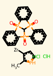 Cc1[pH]cc[c]1[Zr].Cl.Cl.O=P(c1ccccc1)(c1ccccc1)C(P(=O)(c1ccccc1)c1ccccc1)P(=O)(c1ccccc1)c1ccccc1